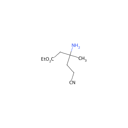 CCOC(=O)CC(C)(N)CCC#N